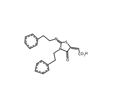 O=C(O)C=C1SC(=NCCc2ccccc2)N(CCc2ccccc2)C1=O